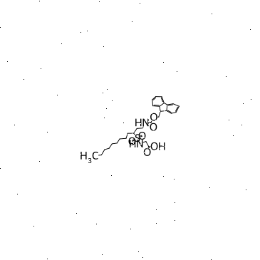 CCCCCCCCCC(CCNC(=O)OCC1c2ccccc2-c2ccccc21)S(=O)(=O)NCC(=O)O